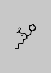 CCCCCC=C(COC(C)=O)Cc1ccccc1